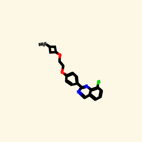 O=C(O)C1CC(OCCOc2ccc(-c3ncc4cccc(Cl)c4n3)cc2)C1